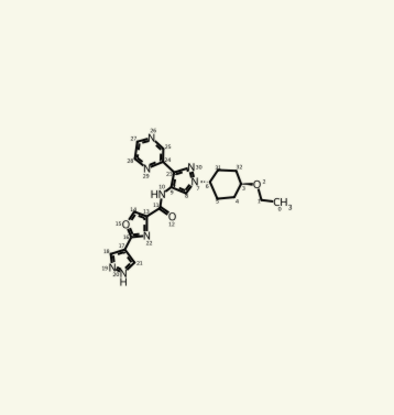 CCO[C@H]1CC[C@H](n2cc(NC(=O)c3coc(-c4cn[nH]c4)n3)c(-c3cnccn3)n2)CC1